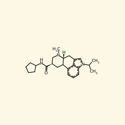 CC(C)n1cc2c3c(cccc31)C1C[C@@H](C(=O)NC3CCCC3)CN(C)[C@@H]1C2